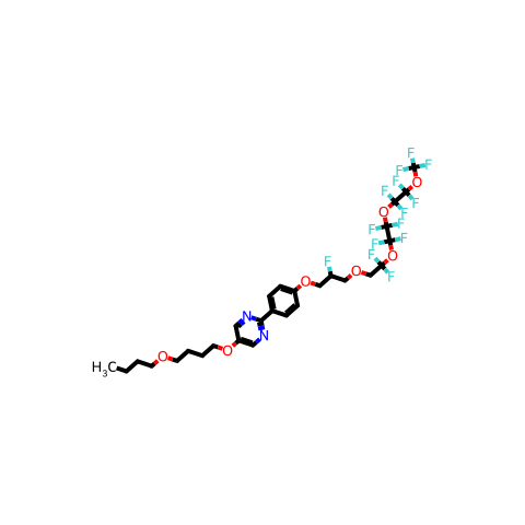 CCCCOCCCCOc1cnc(-c2ccc(OCC(F)COCC(F)(F)OC(F)(F)C(F)(F)OC(F)(F)C(F)(F)OC(F)(F)F)cc2)nc1